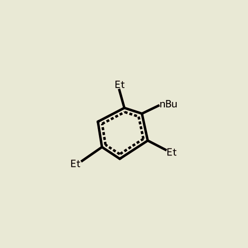 [CH2]CCCc1c(CC)cc(CC)cc1CC